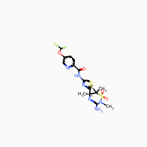 CN1C(N)=N[C@](C)(c2nc(NC(=O)c3ccc(OC(F)F)cn3)cs2)C(C)(C)S1(=O)=O